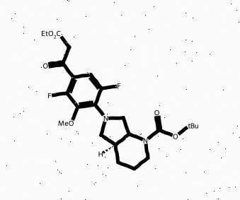 CCOC(=O)CC(=O)c1cc(F)c(N2CC3[C@@H](CCCN3C(=O)OC(C)(C)C)C2)c(OC)c1F